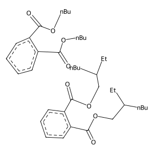 CCCCC(CC)COC(=O)c1ccccc1C(=O)OCC(CC)CCCC.CCCCOC(=O)c1ccccc1C(=O)OCCCC